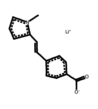 Cn1cccc1/C=C/c1ccc(C(=O)[O-])cc1.[Li+]